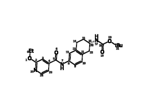 CCOc1cc(C(=O)Nc2ccc3c(c2)CC[C@H](NC(=O)OC(C)(C)C)C3)ccn1